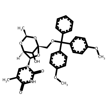 COc1ccc(C(OC[C@]23O[C@H](C)O[C@@H](C2O)[C@H](n2cc(C)c(=O)[nH]c2=O)O3)(c2ccccc2)c2ccc(OC)cc2)cc1